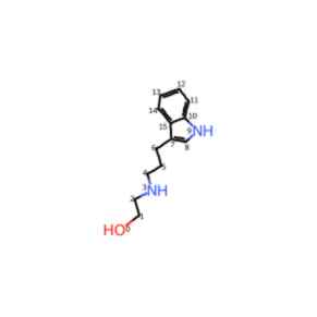 OCCNCCCc1c[nH]c2ccccc12